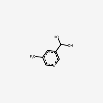 OC(O)c1cncc(C(F)(F)F)c1